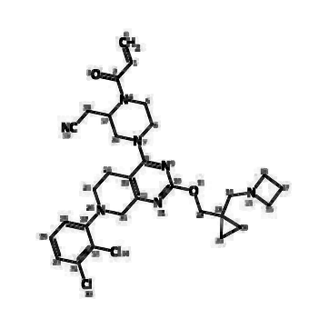 C=CC(=O)N1CCN(c2nc(OCC3(CN4CCC4)CC3)nc3c2CCN(c2cccc(Cl)c2Cl)C3)CC1CC#N